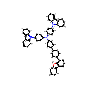 C1=Cc2c(n(-c3ccc(N(c4ccc(-c5ccc(-c6cccc7c6oc6ccccc67)cc5)cc4)c4ccc(-n5c6ccccc6c6ccccc65)cc4)cc3)c3ccccc23)CC1